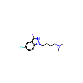 CN(C)CCCCn1nc(I)c2cc(F)ccc21